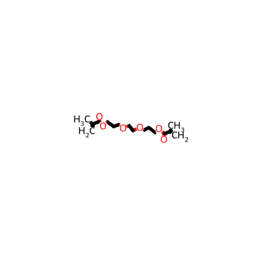 C=C(C)C(=O)OCCCOCCOCCCOC(=O)C(=C)C